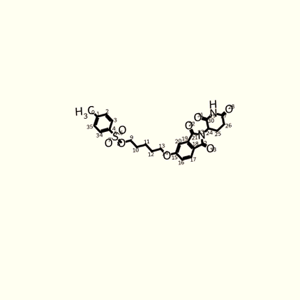 Cc1ccc(S(=O)(=O)OCCCCCOc2ccc3c(c2)C(=O)N(C2CCC(=O)NC2=O)C3=O)cc1